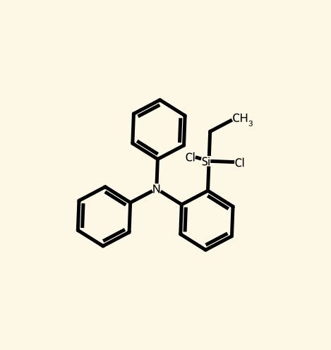 CC[Si](Cl)(Cl)c1ccccc1N(c1ccccc1)c1ccccc1